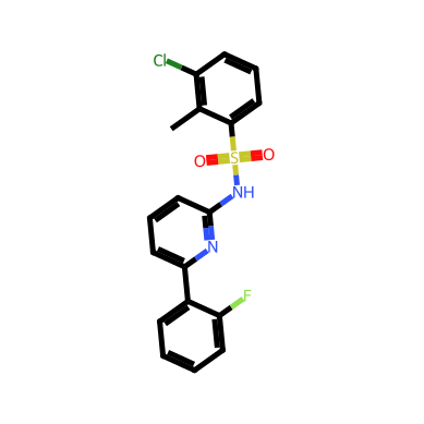 Cc1c(Cl)cccc1S(=O)(=O)Nc1cccc(-c2ccccc2F)n1